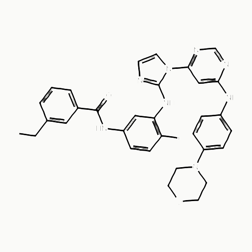 Cc1ccc(NC(=O)c2cccc(CF)c2)cc1Nc1nccn1-c1cc(Nc2ccc(N3CCOCC3)cc2)ncn1